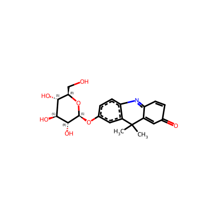 CC1(C)C2=CC(=O)C=CC2=Nc2ccc(O[C@@H]3O[C@H](CO)[C@@H](O)[C@H](O)[C@H]3O)cc21